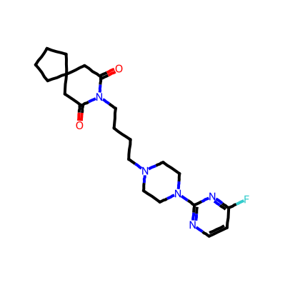 O=C1CC2(CCCC2)CC(=O)N1CCCCN1CCN(c2nccc(F)n2)CC1